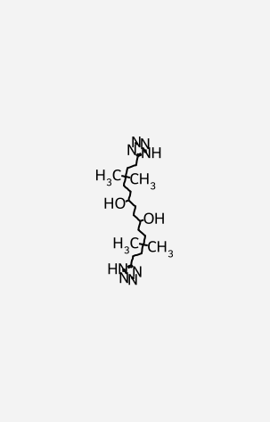 CC(C)(CCc1nnn[nH]1)CCC(O)CCC(O)CCC(C)(C)CCc1nnn[nH]1